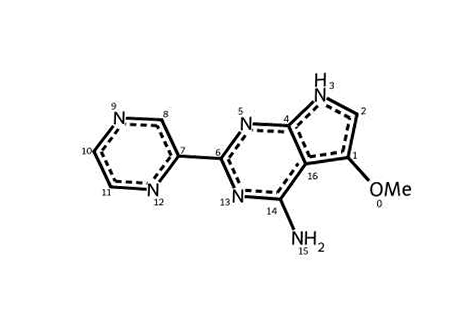 COc1c[nH]c2nc(-c3cnccn3)nc(N)c12